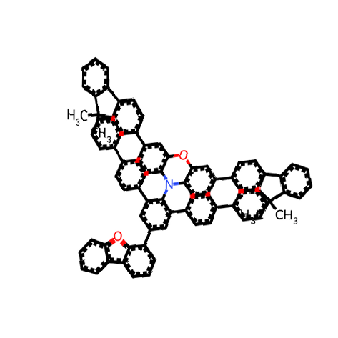 CC1(C)c2ccccc2-c2ccc(-c3ccc4c(c3)Oc3cc(-c5ccc6c(c5)C(C)(C)c5ccccc5-6)ccc3N4c3c(-c4ccc(-c5ccccc5)cc4)cc(-c4cccc5c4oc4ccccc45)cc3-c3ccc(-c4ccccc4)cc3)cc21